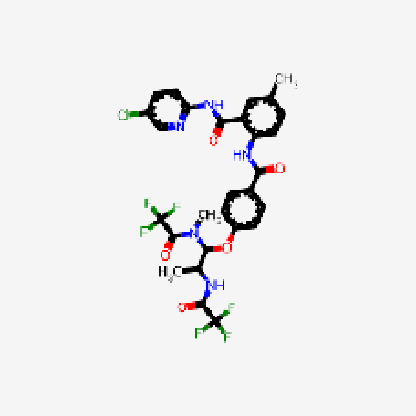 Cc1ccc(NC(=O)c2ccc(OC(C(C)NC(=O)C(F)(F)F)N(C)C(=O)C(F)(F)F)cc2)c(C(=O)Nc2ccc(Cl)cn2)c1